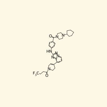 O=C(CCC(F)(F)F)N1CC=C(c2cccn3nc(Nc4ccc(C(=O)N5CCN(C6CCCCC6)CC5)cc4)nc23)CC1